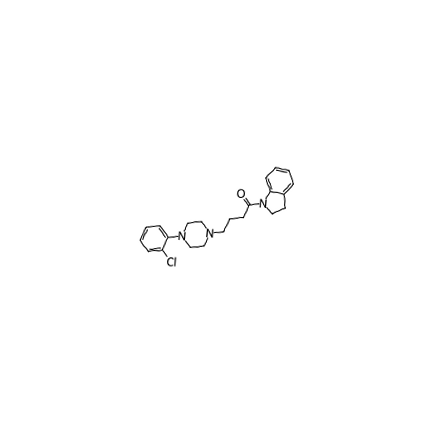 O=C(CCCN1CCN(c2ccccc2Cl)CC1)N1CCc2ccccc21